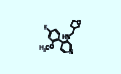 COc1cc(F)ccc1-c1ccncc1NCC1CCOC1